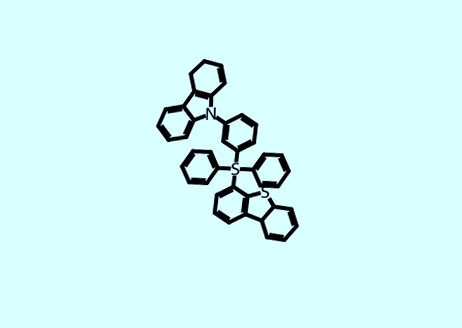 C1=CC2Sc3c(cccc3S(c3ccccc3)(c3ccccc3)c3cccc(-n4c5c(c6ccccc64)CCC=C5)c3)C2C=C1